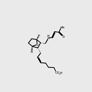 CCCC(=O)/C=C/NC[C@@H]1[C@H](C/C=C\CCCC(=O)O)[C@@H]2CC[C@H]1O2